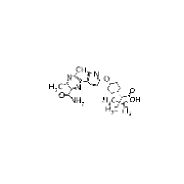 Cc1nc(C)c(-c2ccc(O[C@H]3CC[C@@H](C(C(=O)O)C(C)(C)C)CC3)nc2)nc1C(N)=O